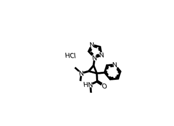 CNC(=O)C1(c2cccnc2)C(N(C)C)C1n1cncn1.Cl